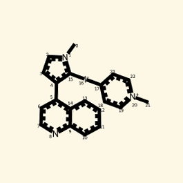 Cn1ccc(-c2ccnc3ccccc23)c1[I-]c1cc[n+](C)cc1